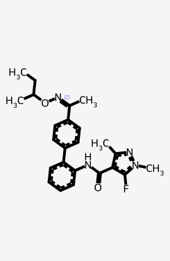 CCC(C)O/N=C(/C)c1ccc(-c2ccccc2NC(=O)c2c(C)nn(C)c2F)cc1